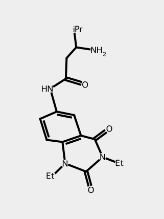 CCn1c(=O)c2cc(NC(=O)CC(N)C(C)C)ccc2n(CC)c1=O